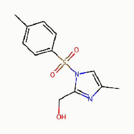 Cc1ccc(S(=O)(=O)n2cc(C)nc2CO)cc1